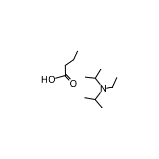 CCCC(=O)O.CCN(C(C)C)C(C)C